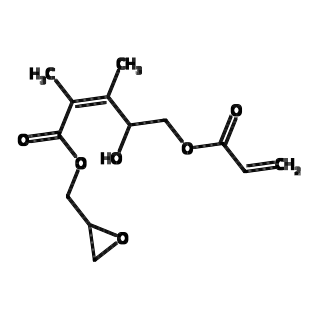 C=CC(=O)OCC(O)C(C)=C(C)C(=O)OCC1CO1